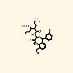 O=C1Nc2c(CO)cccc2C(c2cccc(F)c2)=NC1NC(=O)C(CCC(F)(F)F)C(CCC(F)(F)F)C(=O)O